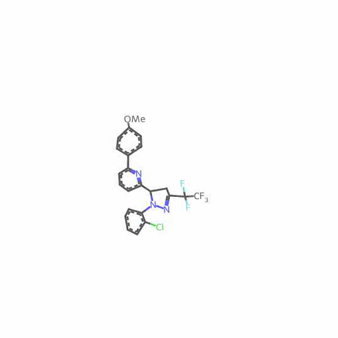 COc1ccc(-c2cccc(C3CC(C(F)(F)C(F)(F)F)=NN3c3ccccc3Cl)n2)cc1